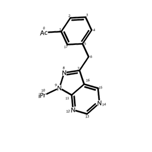 CC(=O)c1cccc(Cc2nn(C(C)C)c3ncncc23)c1